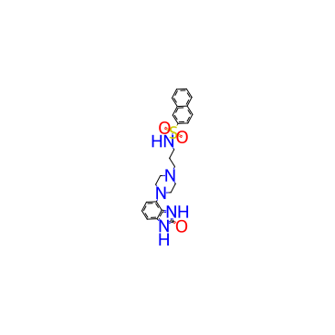 O=c1[nH]c2cccc(N3CCN(CCCNS(=O)(=O)c4ccc5ccccc5c4)CC3)c2[nH]1